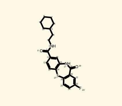 O=C(NCCC1CCCCC1)c1ccc2c(c1)NC(=O)c1cc(F)ccc1S2